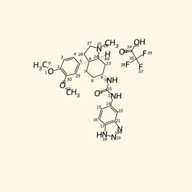 COc1ccc([C@@]23CC[C@@H](NC(=O)Nc4ccc5[nH]nnc5c4)C[C@@H]2N(C)CC3)cc1OC.O=C(O)C(F)(F)F